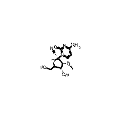 CO[C@@H]1[C@H](O)C(CO)O[C@@]1(C#N)n1ccc(N)nc1=O